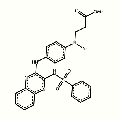 COC(=O)CCN(C(C)=O)c1ccc(Nc2nc3ccccc3nc2NS(=O)(=O)c2ccccc2)cc1